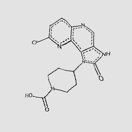 O=C(O)N1CCC(n2c(=O)[nH]c3cnc4ccc(Cl)nc4c32)CC1